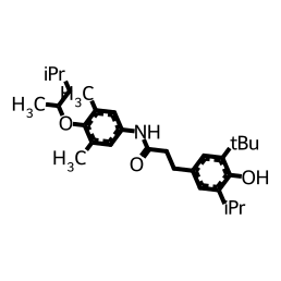 Cc1cc(NC(=O)CCc2cc(C(C)C)c(O)c(C(C)(C)C)c2)cc(C)c1OC(C)CC(C)C